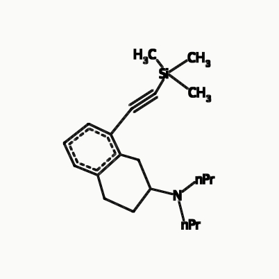 CCCN(CCC)C1CCc2cccc(C#C[Si](C)(C)C)c2C1